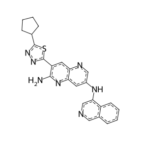 Nc1nc2cc(Nc3cncc4ccccc34)cnc2cc1-c1nnc(C2CCCC2)s1